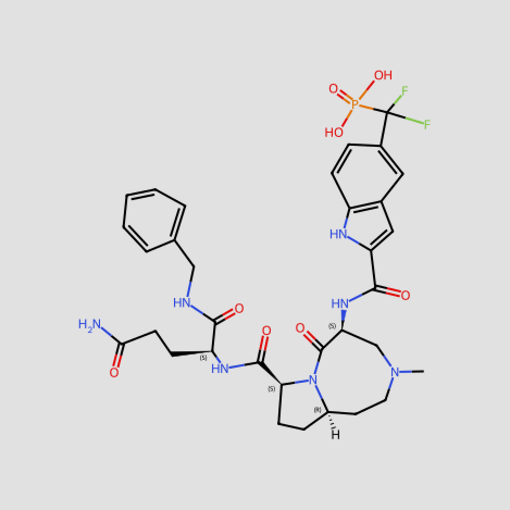 CN1CC[C@H]2CC[C@@H](C(=O)N[C@@H](CCC(N)=O)C(=O)NCc3ccccc3)N2C(=O)[C@@H](NC(=O)c2cc3cc(C(F)(F)P(=O)(O)O)ccc3[nH]2)C1